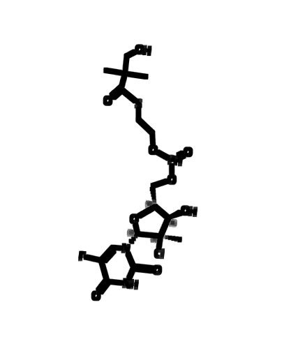 CC(C)(CO)C(=O)SCCO[PH](=O)OC[C@H]1O[C@@H](n2cc(F)c(=O)[nH]c2=O)[C@](C)(Cl)[C@@H]1O